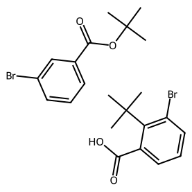 CC(C)(C)OC(=O)c1cccc(Br)c1.CC(C)(C)c1c(Br)cccc1C(=O)O